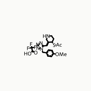 COc1ccc(Cn2nnnc2/C=C2\CNCCC2SC(C)=O)cc1.O=C(O)C(F)(F)F